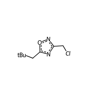 CC(C)(C)Cc1nc(CCl)no1